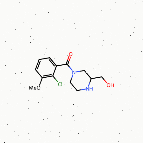 COc1cccc(C(=O)N2CCNC(CO)C2)c1Cl